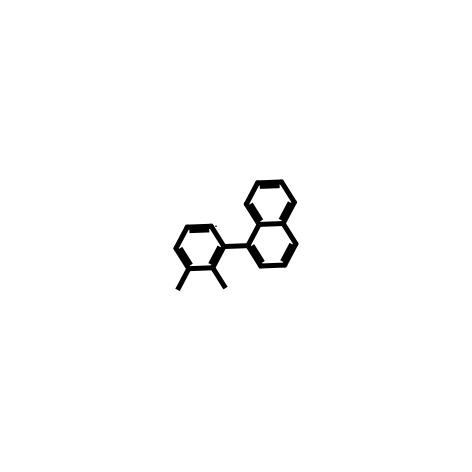 Cc1cc[c]c(-c2cccc3ccccc23)c1C